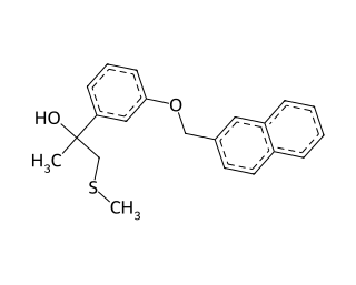 CSCC(C)(O)c1cccc(OCc2ccc3ccccc3c2)c1